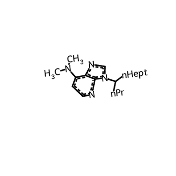 CCCCCCCC(CCC)n1cnc2c(N(C)C)ccnc21